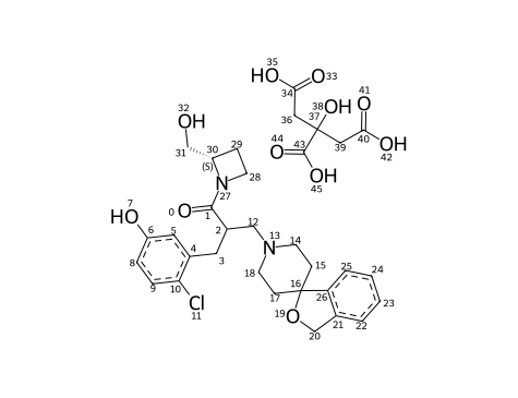 O=C(C(Cc1cc(O)ccc1Cl)CN1CCC2(CC1)OCc1ccccc12)N1CC[C@H]1CO.O=C(O)CC(O)(CC(=O)O)C(=O)O